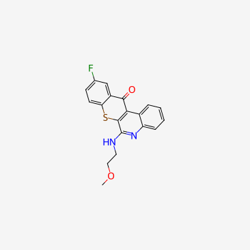 COCCNc1nc2ccccc2c2c(=O)c3cc(F)ccc3sc12